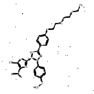 CCOCCOCCOc1ccc(C2=NN(c3ccc(OC)cc3)N(c3nc(C(F)F)c(Cl)s3)N2)cc1